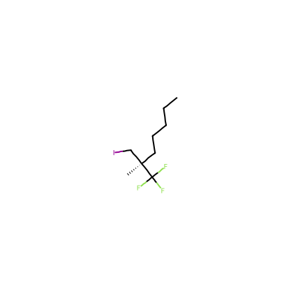 CCCCC[C@](C)(CI)C(F)(F)F